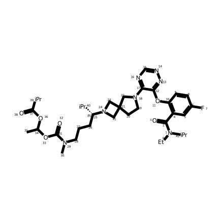 CCN(C(=O)c1cc(F)ccc1Oc1nncnc1N1CCC2(C1)CN([C@H](CCCN(C)C(=O)OC(C)OC(=O)C(C)C)C(C)C)C2)C(C)C